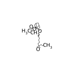 C=C(C)C(=O)OC12CC3CC(CC(OCCCCCCCC4(CCC)COC4)(C3)C1)C2